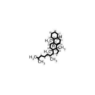 CC(C)CCC[C@@H](C)[C@H]1CC[C@@]2(C)C3=CC[C@H]4CCCC[C@]4(C)[C@H]3CC[C@]12C